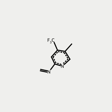 C=Nc1cc(C(F)(F)F)c(C)cn1